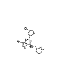 [2H]n1cnc2c(NCc3cccc(C)n3)nc(-c3cncc(Cl)c3)nc21